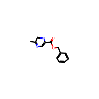 Cc1cnc(C(=O)OCc2ccccc2)cn1